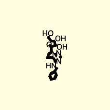 OCC1OC(c2ccc3c(NCc4ccccc4)ncnn23)C(O)C1O